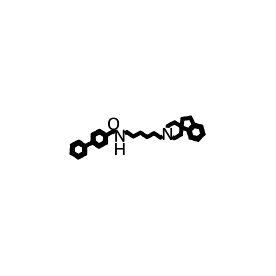 O=C(NCCCCCCN1CCC2(CCc3ccccc32)CC1)c1ccc(-c2ccccc2)cc1